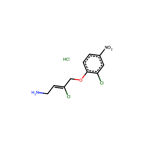 Cl.NCC=C(Cl)COc1ccc([N+](=O)[O-])cc1Cl